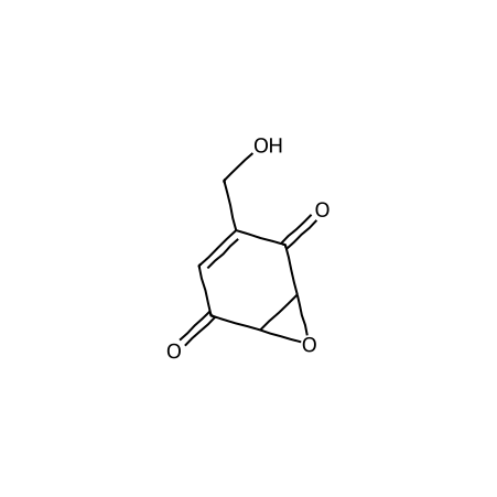 O=C1C=C(CO)C(=O)C2OC12